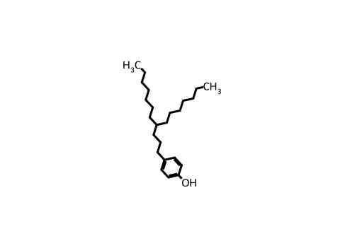 CCCCCCCC(CCCCCCC)CCCc1ccc(O)cc1